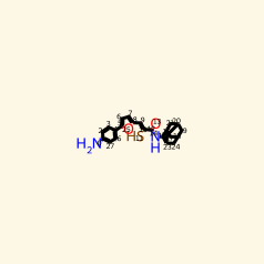 Nc1ccc(-c2ccc(/C=C(\S)C(=O)NC3C4CC5CC(C4)CC3C5)o2)cc1